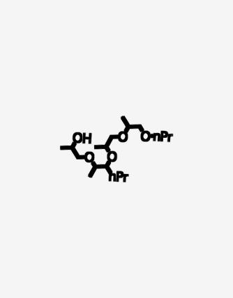 CCCOCC(C)OCC(C)OC(CCC)C(C)OCC(C)O